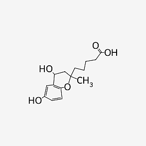 CC1(CCCCC(=O)O)CC(O)c2cc(O)ccc2O1